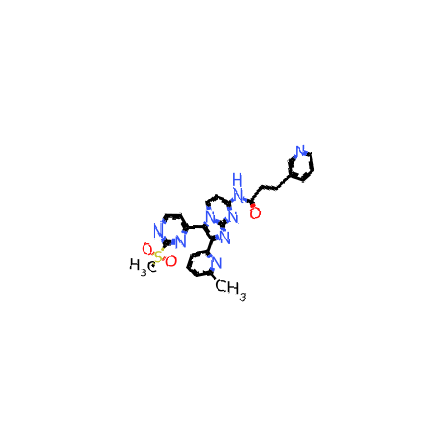 Cc1cccc(-c2nc3nc(NC(=O)CCc4cccnc4)ccn3c2-c2ccnc(S(C)(=O)=O)n2)n1